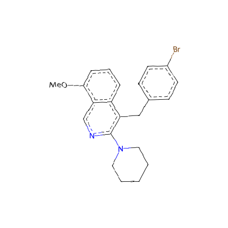 COc1cccc2c(Cc3ccc(Br)cc3)c(N3CCCCC3)ncc12